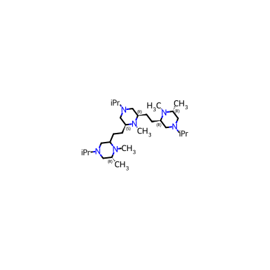 CC(C)N1C[C@@H](CC[C@@H]2CN(C(C)C)C[C@@H](C)N2C)N(C)[C@@H](CCC2CN(C(C)C)C[C@@H](C)N2C)C1